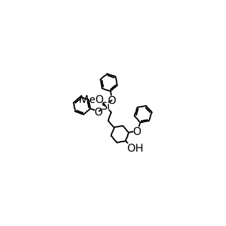 CO[Si](CCC1CCC(O)C(Oc2ccccc2)C1)(Oc1ccccc1)Oc1ccccc1